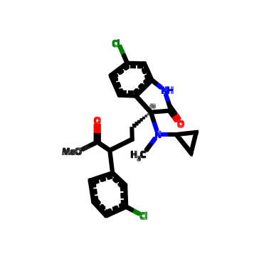 COC(=O)C(CC[C@@]1(N(C)C2CC2)C(=O)Nc2cc(Cl)ccc21)c1cccc(Cl)c1